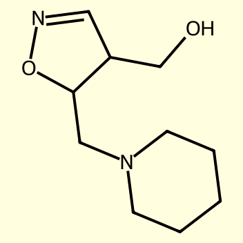 OCC1C=NOC1CN1CCCCC1